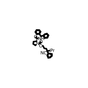 CC(C)C(C#N)(CCCOC(=O)N1CCC[C@H]1C(=O)NC(c1ccccc1)c1ccccc1)c1ccccc1